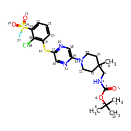 CC1(CNC(=O)OC(C)(C)C)CCN(c2cnc(Sc3cccc(S(=O)(=O)F)c3Cl)cn2)CC1